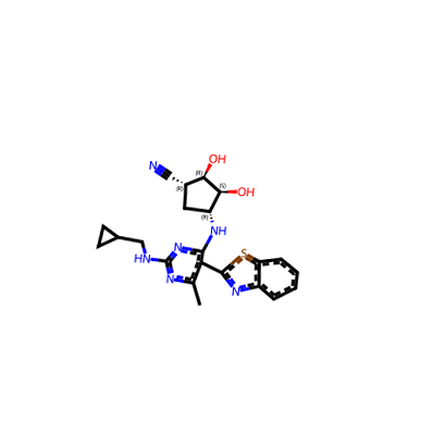 Cc1nc(NCC2CC2)nc(N[C@@H]2C[C@H](C#N)[C@@H](O)[C@H]2O)c1-c1nc2ccccc2s1